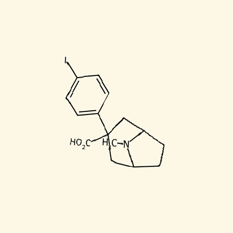 CN1C2CCC1CC(C(=O)O)(c1ccc(I)cc1)C2